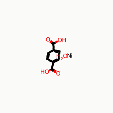 O.O=C(O)c1ccc(C(=O)O)cc1.[Ni]